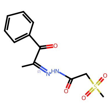 C/C(=N/NC(=O)CS(C)(=O)=O)C(=O)c1ccccc1